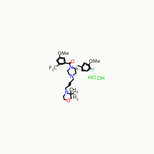 COc1cc(C(=O)N2CCN(CC#CCN3CCOCC3(C)C)C[C@H]2Cc2ccc(F)c(OC)c2)cc(C(F)(F)F)c1.Cl.Cl